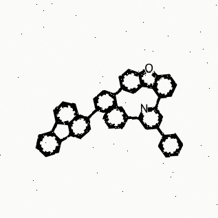 c1ccc(-c2cc(-c3ccccc3)nc(-c3cccc4oc5ccc(-c6ccc(-c7ccc8c9c(cccc79)-c7ccccc7-8)cc6)cc5c34)c2)cc1